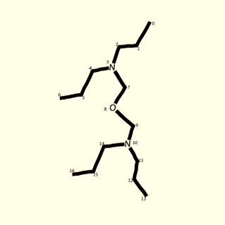 CCCN(CCC)COCN(CCC)CCC